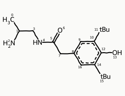 CC(N)CNC(=O)Cc1cc(C(C)(C)C)c(O)c(C(C)(C)C)c1